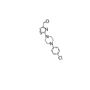 O=Cc1csc(N2CCN(c3ccc(Cl)cc3)CC2)n1